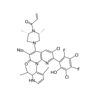 C=CC(=O)N1[C@H](C)CN(c2c(C#N)c(=O)n(C3=C(C)C=CNC3C(C)C)c3nc(-c4c(O)c(Cl)c(F)c(Cl)c4F)c(Cl)cc23)C[C@@H]1C